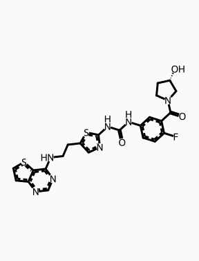 O=C(Nc1ccc(F)c(C(=O)N2CC[C@H](O)C2)c1)Nc1ncc(CCNc2ncnc3ccsc23)s1